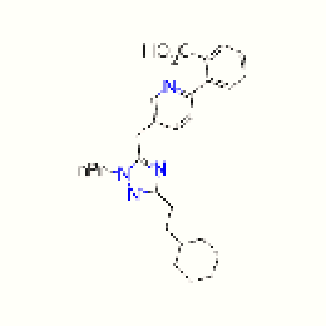 CCCn1nc(CCC2CCCCC2)nc1Cc1ccc(-c2ccccc2C(=O)O)nc1